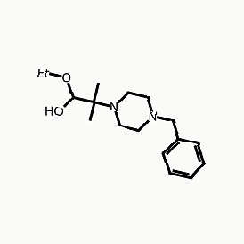 CCOC(O)C(C)(C)N1CCN(Cc2ccccc2)CC1